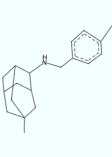 Cc1ccc(CNC2C3CC4CC2CC(C)(C4)C3)cc1